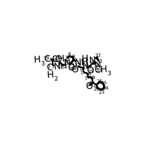 C=C(NC(=O)Cn1cccc(NC(=O)C(CC/C=C/C(=O)c2ccccc2)NC(=O)c2nccn2C)c1=O)C(C)C